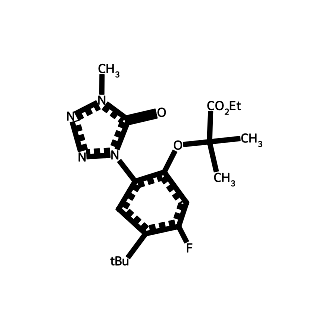 CCOC(=O)C(C)(C)Oc1cc(F)c(C(C)(C)C)cc1-n1nnn(C)c1=O